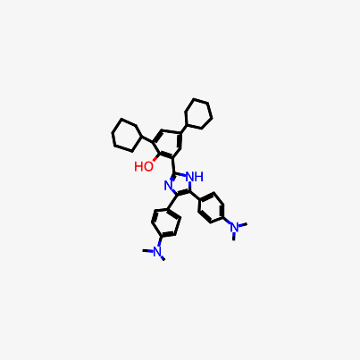 CN(C)c1ccc(-c2nc(-c3cc(C4CCCCC4)cc(C4CCCCC4)c3O)[nH]c2-c2ccc(N(C)C)cc2)cc1